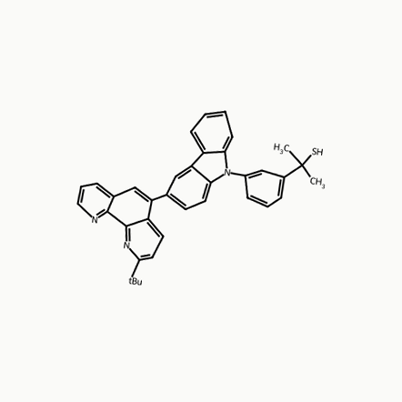 CC(C)(C)c1ccc2c(-c3ccc4c(c3)c3ccccc3n4-c3cccc(C(C)(C)S)c3)cc3cccnc3c2n1